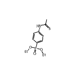 CCOP(=O)(OCC)c1ccc(NC(C)=S)cc1